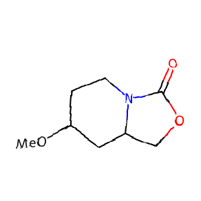 COC1CCN2C(=O)OCC2C1